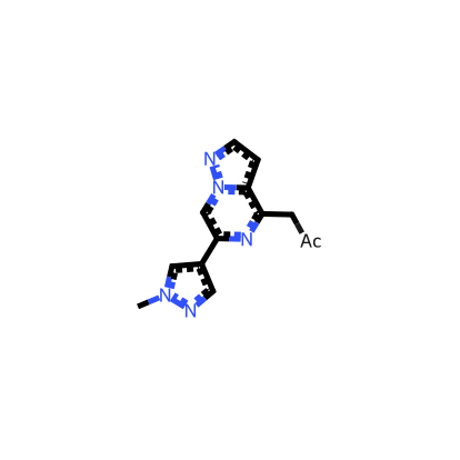 CC(=O)Cc1nc(-c2cnn(C)c2)cn2nccc12